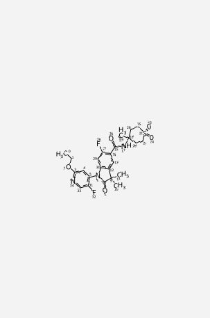 CCOc1cc(N2C(=O)C(C)(C)c3cc(C(=O)NC4(C)CCS(=O)(=O)CC4)c(F)cc32)c(F)cn1